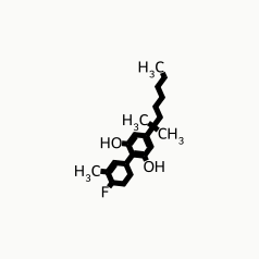 CCCCCCC(C)(C)c1cc(O)c(C2C=C(C)C(F)CC2)c(O)c1